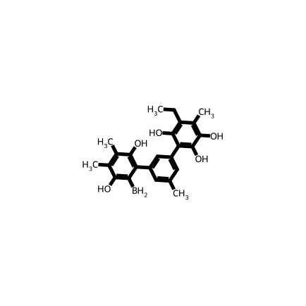 Bc1c(O)c(C)c(C)c(O)c1-c1cc(C)cc(-c2c(O)c(O)c(C)c(CC)c2O)c1